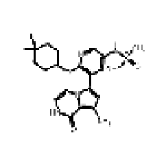 Cc1cc(-c2cc(N[SH](C)(=O)C=O)cnc2OC2CCC(F)(F)CC2)n2cc[nH]c(=O)c12